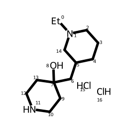 CCN1CCCC(CC2(O)CCNCC2)C1.Cl.Cl